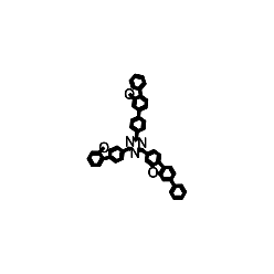 c1ccc(-c2ccc3c(c2)oc2cc(-c4nc(-c5ccc(-c6ccc7c(c6)oc6ccccc67)cc5)nc(-c5ccc6c(c5)oc5ccccc56)n4)ccc23)cc1